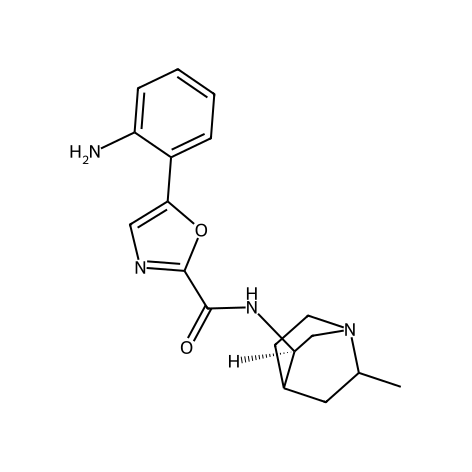 CC1CC2CCN1C[C@@H]2NC(=O)c1ncc(-c2ccccc2N)o1